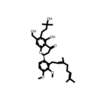 COc1ccc([C@@H]2CC(=O)c3c(cc(CO)c(CCC(C)(C)O)c3O)O2)c(C/C=C(\C)CCC=C(C)C)c1OC